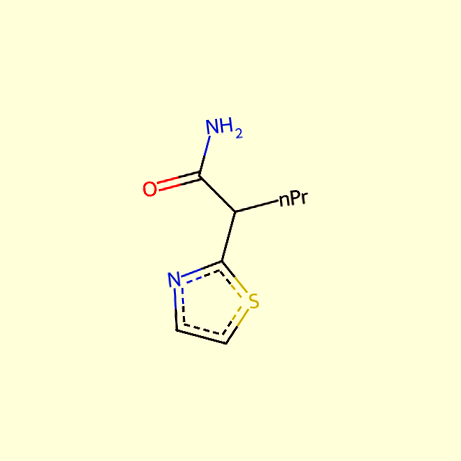 CCCC(C(N)=O)c1nccs1